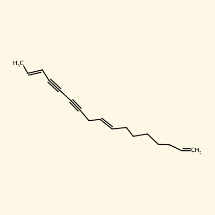 C=CCCCCC/C=C/CC#CC#C/C=C/C